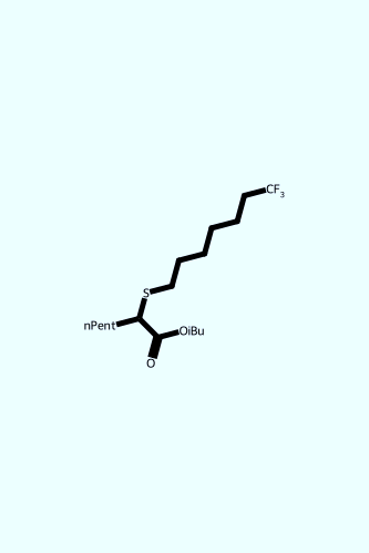 CCCCCC(SCCCCCCC(F)(F)F)C(=O)OCC(C)C